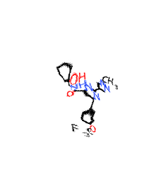 Cn1cc(-c2nc(C(=O)NCC3(O)CCCCC3)cc(-c3ccc(OC(F)(F)F)cc3)n2)cn1